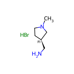 Br.CN1CC[C@H](CN)C1